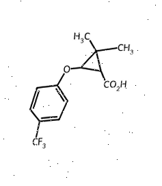 CC1(C)C(Oc2ccc(C(F)(F)F)cc2)C1C(=O)O